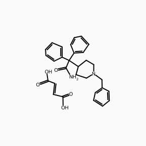 NC(=O)C(c1ccccc1)(c1ccccc1)C1CCN(Cc2ccccc2)CC1.O=C(O)/C=C/C(=O)O